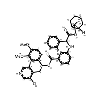 COc1ccc([C@H](Cc2c(Cl)cncc2Cl)OC(=O)c2cccc(NC(C(=O)O[C@H]3CN4CCC3CC4)c3ccccc3F)c2)cc1OC